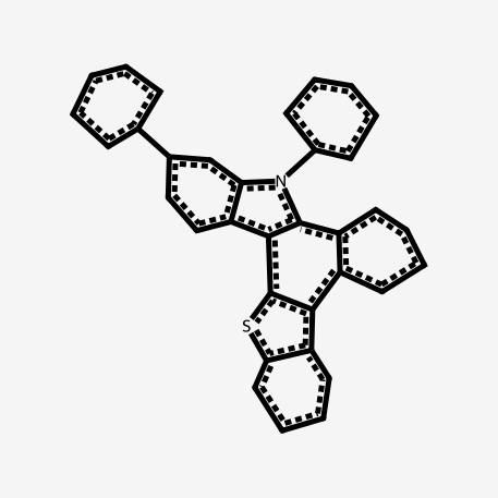 c1ccc(-c2ccc3c4c5sc6ccccc6c5c5ccccc5c4n(-c4ccccc4)c3c2)cc1